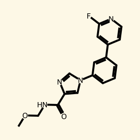 COCNC(=O)c1cn(-c2cccc(-c3ccnc(F)c3)c2)cn1